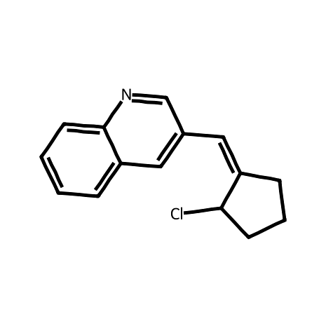 ClC1CCCC1=Cc1cnc2ccccc2c1